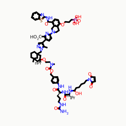 CCCC1(OCCN(C)C(=O)OCc2ccc(NC(=O)[C@H](CCCNC(N)=O)NC(=O)[C@@H](NC(O)CCCCCN3C(=O)C=CC3=O)C(C)C)cc2)CC2(C)CCCC(Cn3ncc(-c4ccc(N5CCc6c(OCCCP(=O)(O)O)ccc(C(=O)Nc7nc8ccccc8s7)c6C5)nc4C(=O)O)c3C)(C2)C1